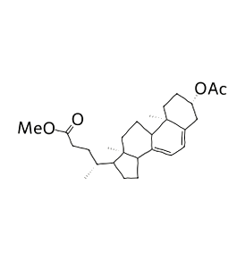 COC(=O)CC[C@@H](C)C1CCC2C3=CC=C4C[C@@H](OC(C)=O)CC[C@]4(C)C3CC[C@@]21C